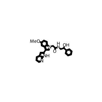 COc1ccc2c(c1)c(-c1cc3cccnc3[nH]1)cn2CC(=O)NCC(O)c1ccccc1